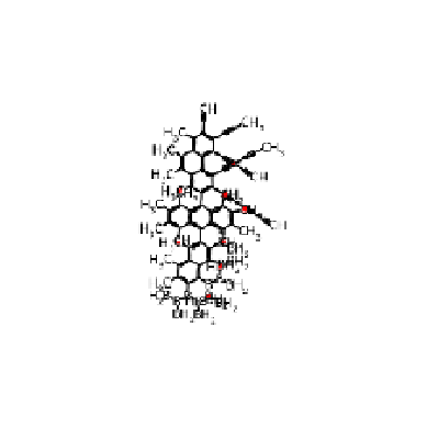 BBB(B)B(B(B)B)c1c(B(B(B)B)B(B)B)c(C)c(C)c2c(C)c(-c3c4c(C)c(C)c(C)c(C)c4c(-c4c(C#CC#CC#C)c(C#CC#CC)c5c(c4C)c(C)c(C)c4c(C)c(C#C)c(C#CC)c(C#CC#C)c45)c4c(C)c(C)c(C)c(C)c34)c(BB)c(B)c12